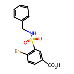 O=C(O)c1ccc(Br)c(S(=O)(=O)NCc2ccccc2)c1